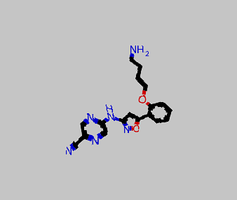 N#Cc1cnc(Nc2cc(-c3ccccc3OCCCCN)on2)cn1